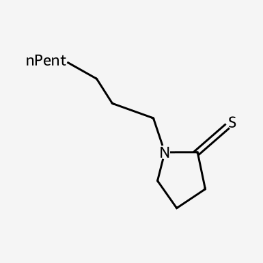 CCCCCCCCN1CCCC1=S